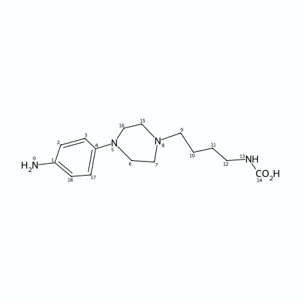 Nc1ccc(N2CCN(CCCCNC(=O)O)CC2)cc1